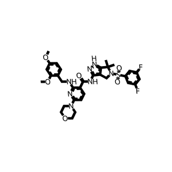 COc1ccc(CNc2nc(N3CCOCC3)ccc2C(=O)Nc2n[nH]c3c2CN(S(=O)(=O)c2cc(F)cc(F)c2)C3(C)C)c(OC)c1